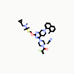 C=C(F)C(=O)N1CCN(c2nc(OCSC(C)(C)N(C)CC3CC3)nc3c2CCN(c2cccc4cccc(C)c24)C3)C[C@@H]1CC#N